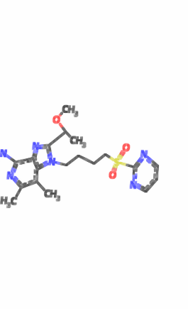 COC(C)c1nc2c(N)nc(C)c(C)c2n1CCCCS(=O)(=O)c1ncccn1